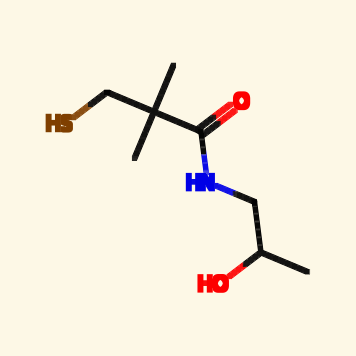 CC(O)CNC(=O)C(C)(C)CS